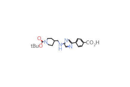 CC(C)(C)OC(=O)N1CCC(CNc2cnc(-c3ccc(C(=O)O)cc3)cn2)CC1